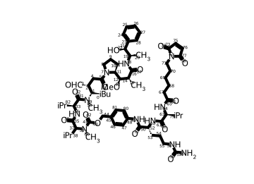 CC[C@H](C)[C@@H]([C@H](C=O)CC(=O)N1CCC[C@H]1[C@H](OC)[C@@H](C)C(=O)N[C@H](C)[C@@H](O)c1ccccc1)N(C)C(=O)[C@@H](NC(=O)C(C(C)C)N(C)C(=O)OCc1ccc(NC(=O)[C@@H](CCCNC(N)=O)NC(=O)[C@@H](NC(=O)CCCCCN2C(=O)C=CC2=O)C(C)C)cc1)C(C)C